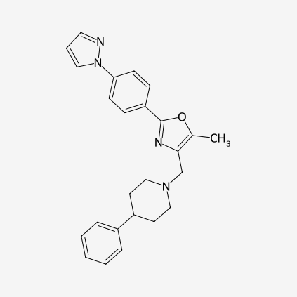 Cc1oc(-c2ccc(-n3cccn3)cc2)nc1CN1CCC(c2ccccc2)CC1